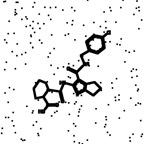 O=C(NCc1ccc(Cl)cc1)c1c(NC(=O)C2CCCCC2C(=O)O)sc2c1CCC2